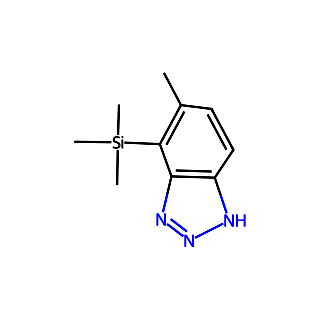 Cc1ccc2[nH]nnc2c1[Si](C)(C)C